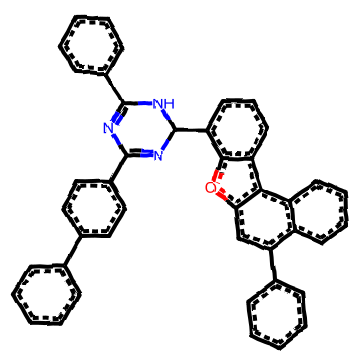 c1ccc(C2=NC(c3ccc(-c4ccccc4)cc3)=NC(c3cccc4c3oc3cc(-c5ccccc5)c5ccccc5c34)N2)cc1